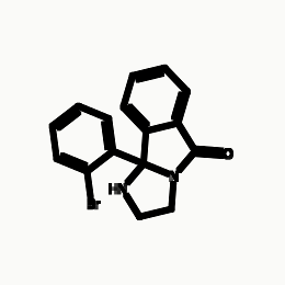 O=C1c2ccccc2C2(c3ccccc3Br)NCCN12